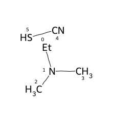 CCN(C)C.N#CS